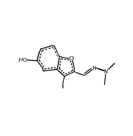 Cc1c(/C=N/N(C)C)oc2ccc(O)cc12